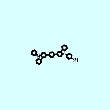 SC1C=CC(n2c3ccccc3c3cc(-c4ccc(-c5ccc6c(c5)c5ccccc5n6-c5ccccc5)cc4)ccc32)=CC1